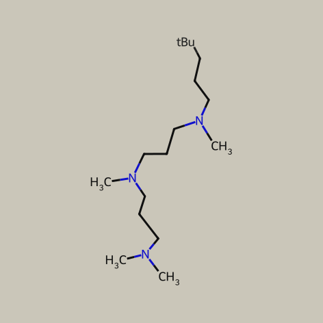 CN(C)CCCN(C)CCCN(C)CCCC(C)(C)C